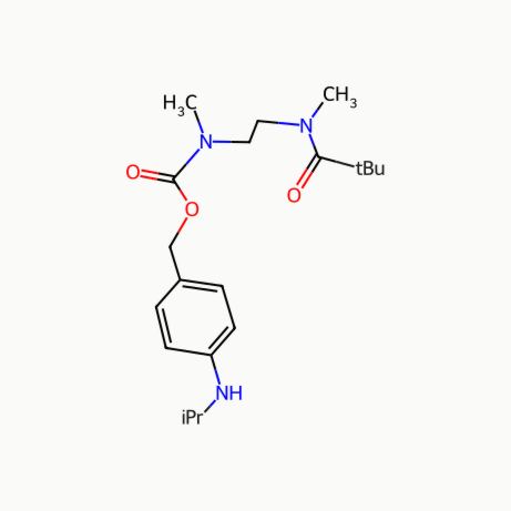 CC(C)Nc1ccc(COC(=O)N(C)CCN(C)C(=O)C(C)(C)C)cc1